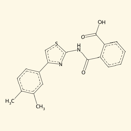 Cc1ccc(-c2csc(NC(=O)c3ccccc3C(=O)O)n2)cc1C